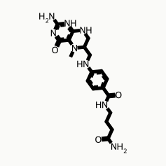 CN1c2c([nH]c(N)nc2=O)NCC1CNc1ccc(C(=O)NCCCC(N)=O)cc1